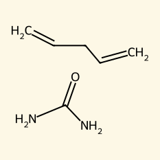 C=CCC=C.NC(N)=O